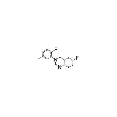 Cc1ccc(F)c(N2C=Nc3ccc(F)cc3C2)c1